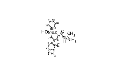 Cc1ccc(-c2cc(C(=O)NC(C)C)cc(C(O)c3ccncc3)c2)c(F)c1